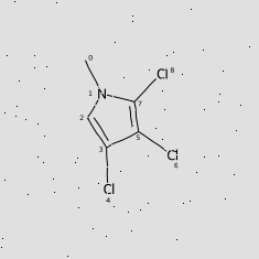 Cn1cc(Cl)c(Cl)c1Cl